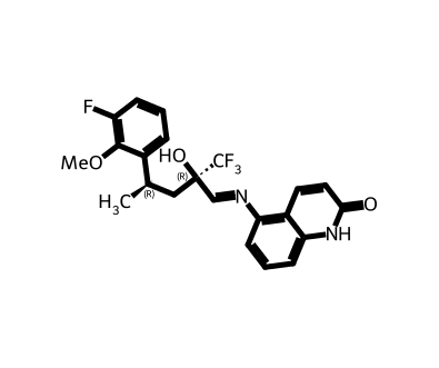 COc1c(F)cccc1[C@H](C)C[C@@](O)(C=Nc1cccc2[nH]c(=O)ccc12)C(F)(F)F